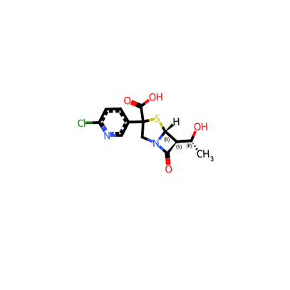 C[C@@H](O)[C@H]1C(=O)N2CC(C(=O)O)(c3ccc(Cl)nc3)S[C@H]12